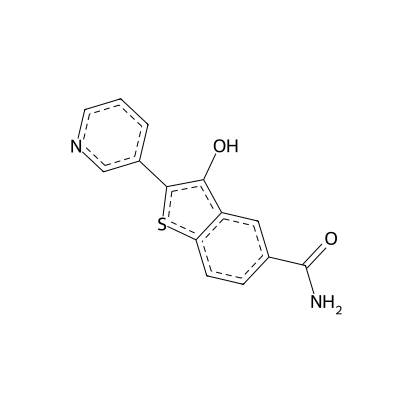 NC(=O)c1ccc2sc(-c3cccnc3)c(O)c2c1